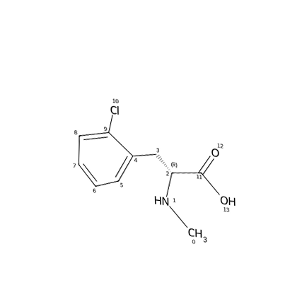 CN[C@H](Cc1ccccc1Cl)C(=O)O